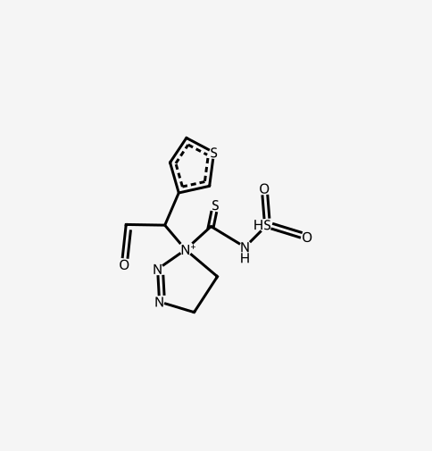 O=CC(c1ccsc1)[N+]1(C(=S)N[SH](=O)=O)CCN=N1